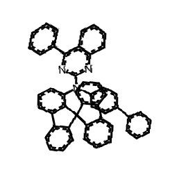 c1ccc(-c2ccc(N(c3nc(-c4ccccc4)c4ccccc4n3)c3cccc4c3C3(c5ccccc5-c5ccccc53)c3ccccc3-4)cc2)cc1